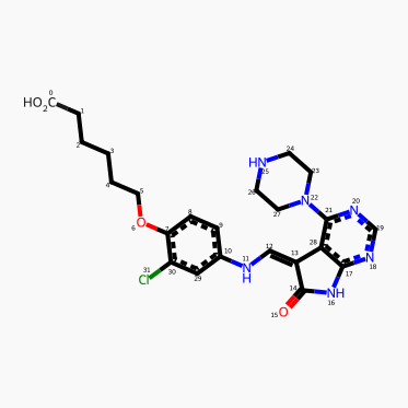 O=C(O)CCCCCOc1ccc(N/C=C2\C(=O)Nc3ncnc(N4CCNCC4)c32)cc1Cl